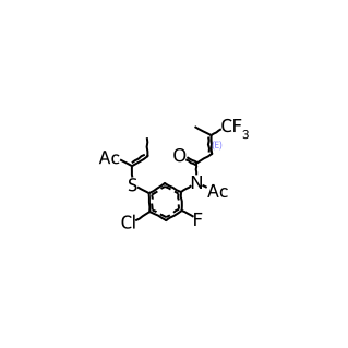 CC=C(Sc1cc(N(C(C)=O)C(=O)/C=C(\C)C(F)(F)F)c(F)cc1Cl)C(C)=O